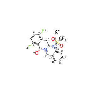 O=C1c2c(F)ccc(F)c2CCN1Cc1ccccc1[N-]S(=O)(=O)C(F)(F)F.[K+]